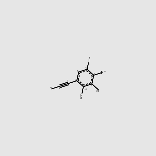 CC#Cc1cc(I)c(F)c(C)c1F